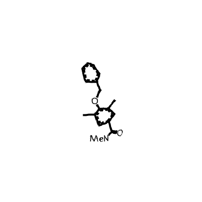 CNC(=O)c1cc(C)c(OCc2ccccc2)c(C)c1